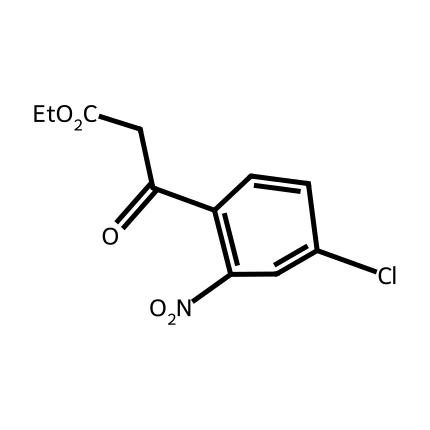 CCOC(=O)CC(=O)c1ccc(Cl)cc1[N+](=O)[O-]